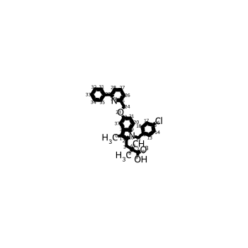 Cc1c(CC(C)(C)C(=O)O)n(Cc2ccc(Cl)cc2)c2ccc(OCc3cccc(-c4ccccc4)n3)cc12